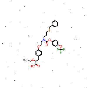 CCOC(Cc1ccc(OCCN(CCCSCc2ccccc2)C(=O)Oc2ccc(OC(F)(F)F)cc2)cc1)C(=O)O